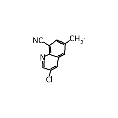 [CH2]c1cc(C#N)c2ncc(Cl)cc2c1